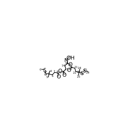 CSSC(C)(C)CCC(=O)OC(=O)CC/C(=N/O)OC(=O)CCC(C)(C)SSC